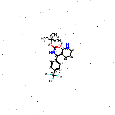 CC(C)(C)OC(=O)NC(c1ccc(C(F)(F)F)cc1)C1CCCNC1